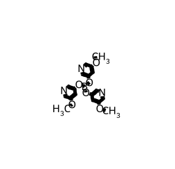 COc1cncc(OB(Oc2cncc(OC)c2)Oc2cncc(OC)c2)c1